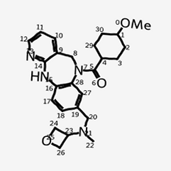 COC1CCC(C(=O)N2Cc3cccnc3Nc3ccc(CN(C)C4COC4)cc32)CC1